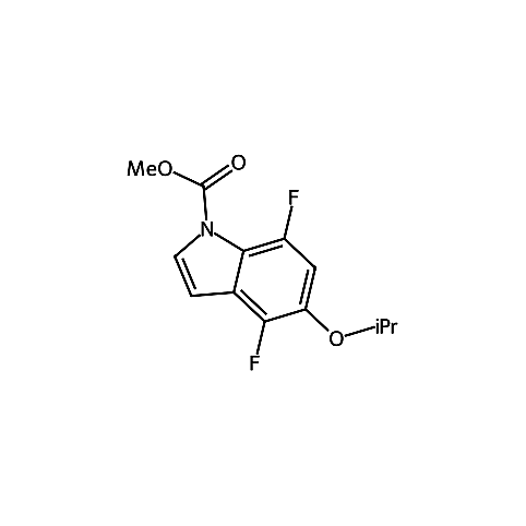 COC(=O)n1ccc2c(F)c(OC(C)C)cc(F)c21